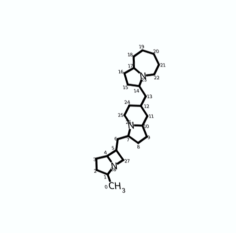 CC1CCC2C(CC3CCC4CC(CC5CCC6CCCCCN65)CCN43)CN12